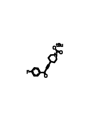 CC(C)(C)OC(=O)N1CCC(C#CC(=O)c2ccc(F)cc2)CC1